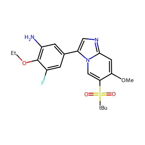 CCOc1c(N)cc(-c2cnc3cc(OC)c(S(=O)(=O)C(C)(C)C)cn23)cc1F